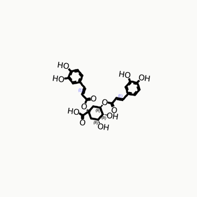 O=C(/C=C/c1ccc(O)c(O)c1)O[C@@H]1C[C@](OC(=O)/C=C/c2ccc(O)c(O)c2)(C(=O)O)C[C@@H](O)[C@H]1O